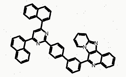 c1cc(-c2ccc(-c3nc(-c4cccc5ccccc45)cc(-c4cccc5ccccc45)n3)cc2)cc(-c2nc3ccccc3c3nc4ccccn4c23)c1